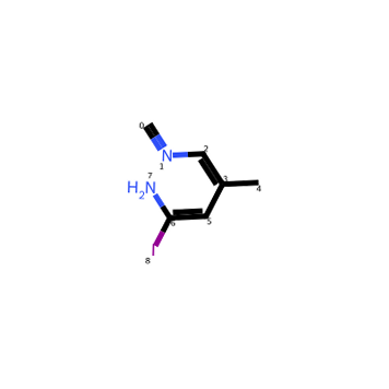 C=N/C=C(C)\C=C(/N)I